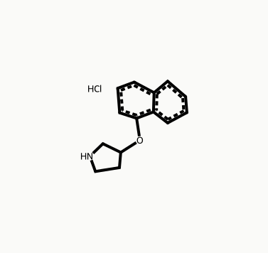 Cl.c1ccc2c(OC3CCNC3)cccc2c1